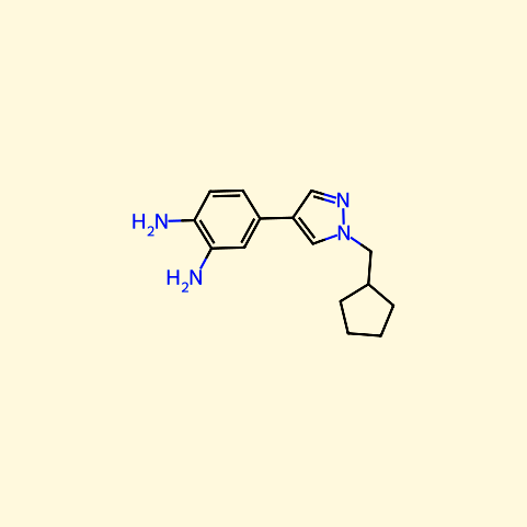 Nc1ccc(-c2cnn(CC3CCCC3)c2)cc1N